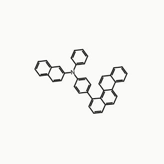 c1ccc(N(c2ccc(-c3cccc4ccc5c6ccccc6ccc5c34)cc2)c2ccc3ccccc3c2)cc1